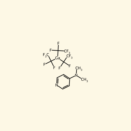 CN(C)c1ccncc1.FC(F)(F)[C](F)(F)[Ga]([C](F)(F)C(F)(F)F)[C](F)(F)C(F)(F)F